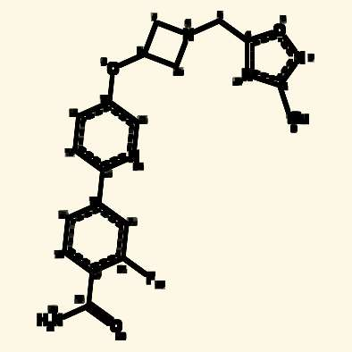 CC(C)(C)c1noc(CN2CC(Oc3ccc(-c4ccc(C(N)=O)c(F)c4)nc3)C2)n1